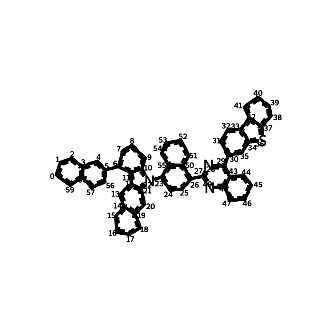 c1ccc2cc(-c3cccc4c3c3cc5ccccc5cc3n4-c3ccc(-c4nc(-c5ccc6c(c5)sc5ccccc56)c5ccccc5n4)c4ccccc34)ccc2c1